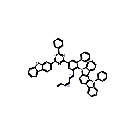 C=C/C=C\C=C\c1cc(-c2nc(-c3ccccc3)nc(-c3ccc4c(c3)oc3ccccc34)n2)cc(-c2ccccc2)c1-n1c2ccccc2c2c1ccc1c3ccccc3n(-c3ccccc3)c12